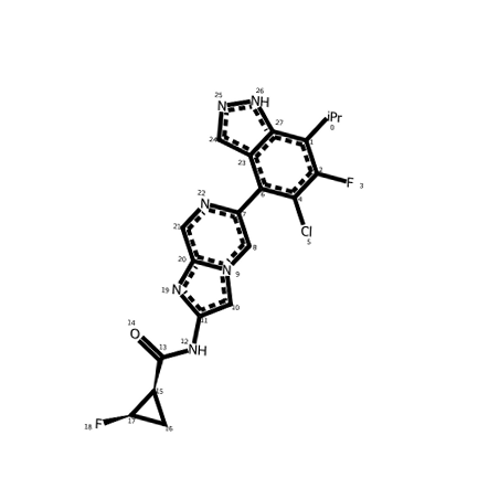 CC(C)c1c(F)c(Cl)c(-c2cn3cc(NC(=O)[C@H]4C[C@H]4F)nc3cn2)c2cn[nH]c12